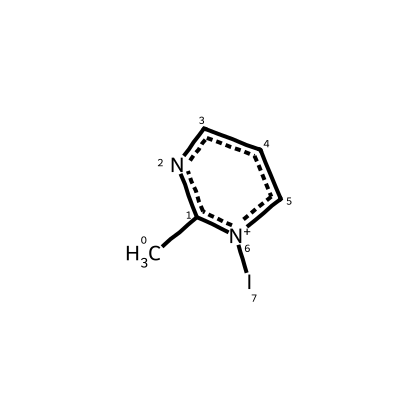 Cc1nccc[n+]1I